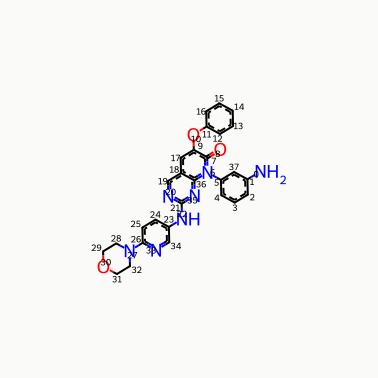 Nc1cccc(-n2c(=O)c(Oc3ccccc3)cc3cnc(Nc4ccc(N5CCOCC5)nc4)nc32)c1